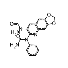 NC(=O)N(c1ccccc1)c1nc2cc3c(cc2cc1N(N)C=O)OCO3